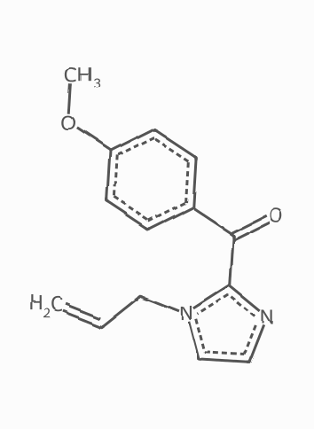 C=CCn1ccnc1C(=O)c1ccc(OC)cc1